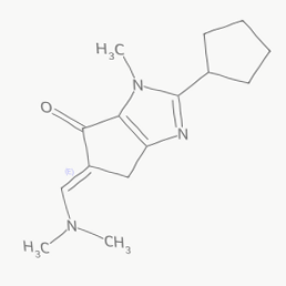 CN(C)/C=C1\Cc2nc(C3CCCC3)n(C)c2C1=O